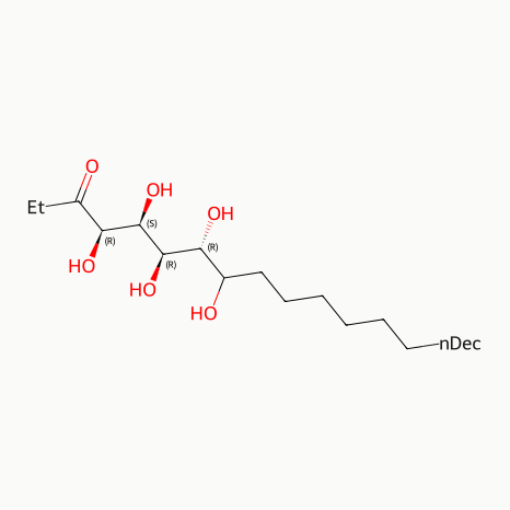 CCCCCCCCCCCCCCCCC(O)[C@@H](O)[C@@H](O)[C@H](O)[C@@H](O)C(=O)CC